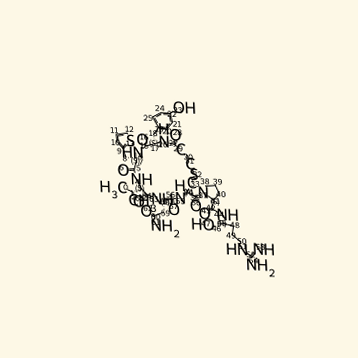 CC(C)[C@@H]1NC(=O)[C@H](Cc2cccs2)NC(=O)[C@H](Cc2ccc(O)cc2)NC(=O)CCCSC[C@@H](C(=O)N2CCC[C@H]2C(=O)N[C@@H](CO)CCCNC(=N)N)NC(=O)[C@H](CC(N)=O)NC1=O